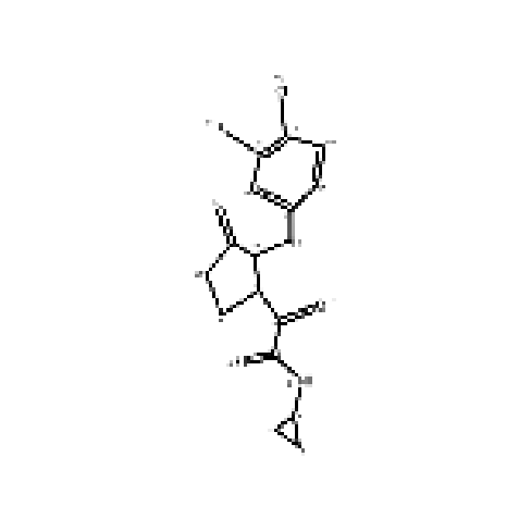 O=C(NC1CC1)C(=O)C1CCC(=O)C1Cc1ccc(Cl)c(F)c1